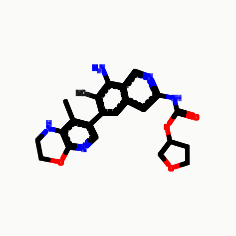 Cc1c(-c2cc3cc(NC(=O)OC4CCOC4)ncc3c(N)c2C#N)cnc2c1NCCO2